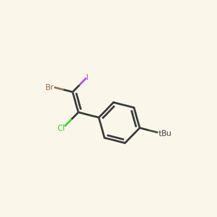 CC(C)(C)c1ccc(C(Cl)=C(Br)I)cc1